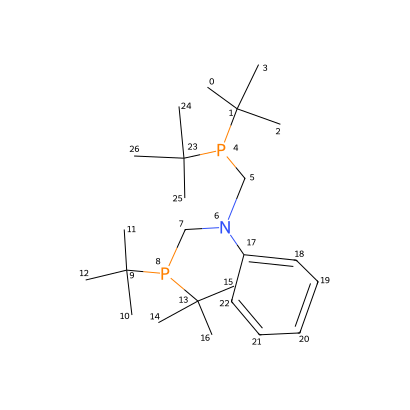 CC(C)(C)P(CN(CP(C(C)(C)C)C(C)(C)C)c1ccccc1)C(C)(C)C